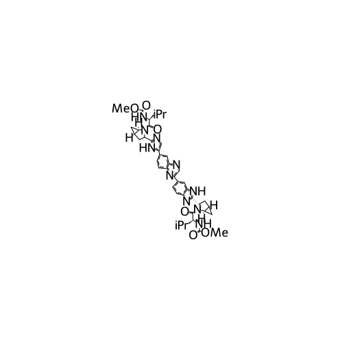 COC(=O)N[C@H](C(=O)N1C(c2ncc(-c3ccc4nc(-c5ccc6nc([C@@H]7C[C@H]8C[C@H]8N7C(=O)[C@@H](NC(=O)OC)C(C)C)[nH]c6c5)cnc4c3)[nH]2)C[C@H]2C[C@H]21)C(C)C